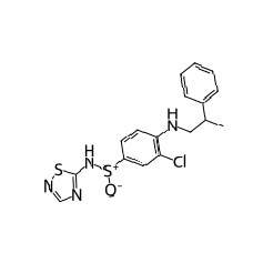 CC(CNc1ccc([S+]([O-])Nc2ncns2)cc1Cl)c1ccccc1